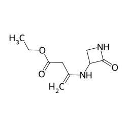 C=C(CC(=O)OCC)NC1CNC1=O